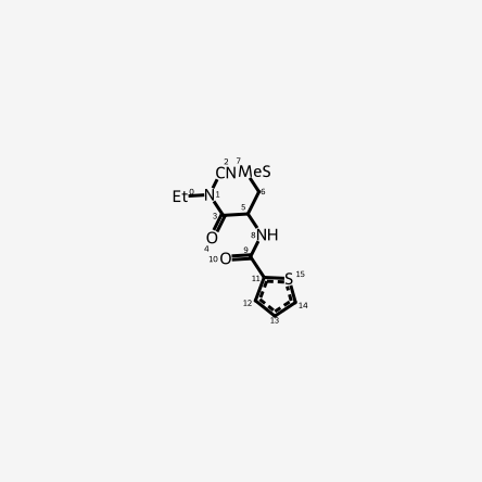 CCN(C#N)C(=O)C(CSC)NC(=O)c1cccs1